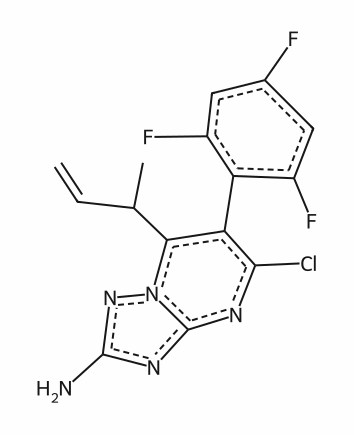 C=CC(C)c1c(-c2c(F)cc(F)cc2F)c(Cl)nc2nc(N)nn12